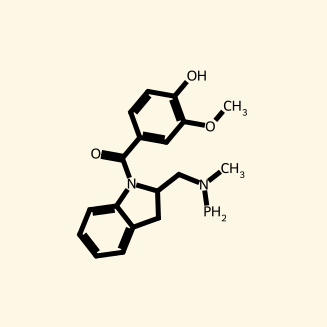 COc1cc(C(=O)N2c3ccccc3CC2CN(C)P)ccc1O